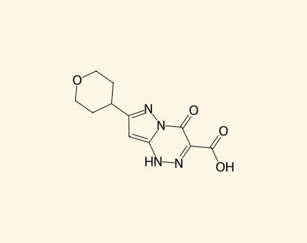 O=C(O)c1n[nH]c2cc(C3CCOCC3)nn2c1=O